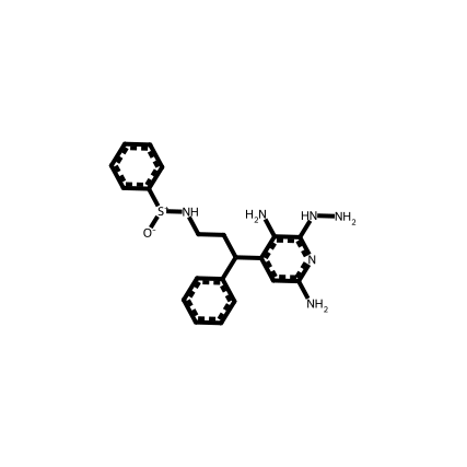 NNc1nc(N)cc(C(CCN[S+]([O-])c2ccccc2)c2ccccc2)c1N